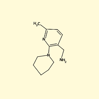 Cc1ccc(CN)c(N2CCCCC2)n1